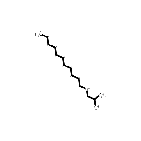 CCCCCCCCCC[CH]OCC(C)C